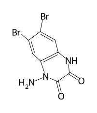 Nn1c(=O)c(=O)[nH]c2cc(Br)c(Br)cc21